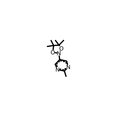 Cc1ncc(N2OC(C)(C)C(C)(C)O2)cn1